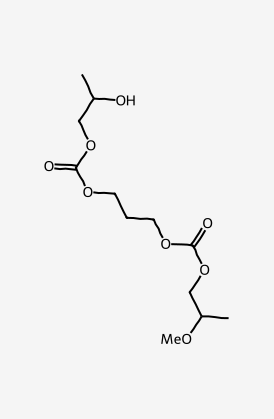 COC(C)COC(=O)OCCCOC(=O)OCC(C)O